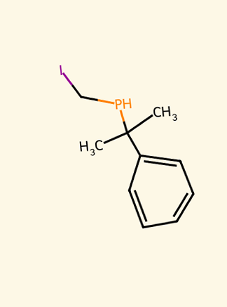 CC(C)(PCI)c1ccccc1